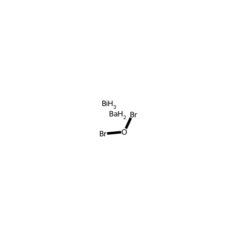 BrOBr.[BaH2].[BiH3]